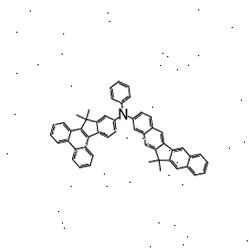 CC1(C)c2cc3ccccc3cc2-c2cc3ccc(N(c4ccccc4)c4ccc5c(c4)C(C)(C)c4c-5c5ccccc5c5ccccc45)cc3cc21